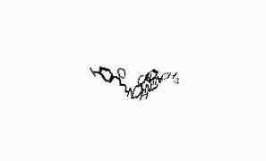 CN1CCN2c3c1cccc3[C@]1(C)CN(CCCC(=O)c3ccc(I)cc3)CC[C@H]21